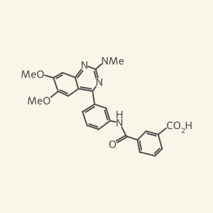 CNc1nc(-c2cccc(NC(=O)c3cccc(C(=O)O)c3)c2)c2cc(OC)c(OC)cc2n1